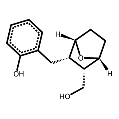 OC[C@@H]1[C@H](Cc2ccccc2O)[C@@H]2CC[C@H]1O2